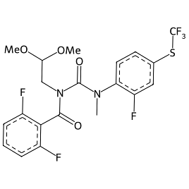 COC(CN(C(=O)c1c(F)cccc1F)C(=O)N(C)c1ccc(SC(F)(F)F)cc1F)OC